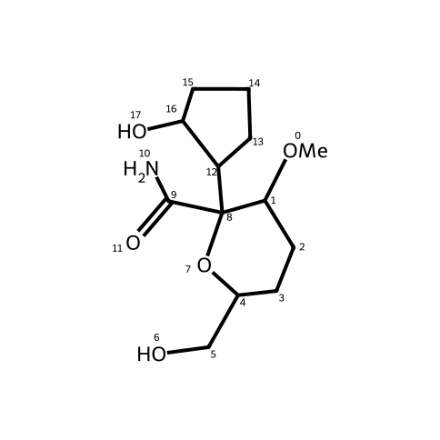 COC1CCC(CO)OC1(C(N)=O)C1CCCC1O